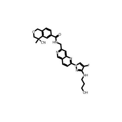 C[C@]1(C#N)COCc2ccc(C(=O)NCc3cc4nc(-n5cc(F)c(NCCCO)n5)ccc4cn3)cc21